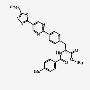 CCCCCCc1nnc(-c2cnc(-c3ccc(C[C@H](NC(=O)c4ccc(C(C)(C)C)cc4)C(=O)OC(C)(C)C)cc3)nc2)s1